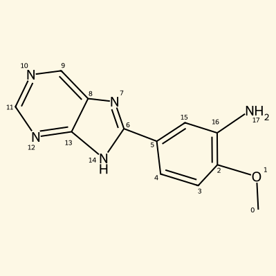 COc1ccc(-c2nc3cncnc3[nH]2)cc1N